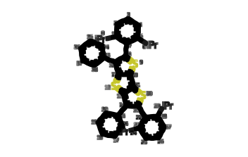 CC(C)c1cccc(C(C)C)c1-c1sc2c(sc3c(-c4ccccc4)c(-c4c(C(C)C)cccc4C(C)C)sc32)c1-c1ccccc1